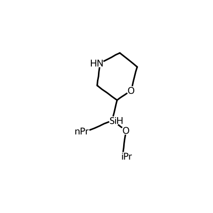 CCC[SiH](OC(C)C)C1CNCCO1